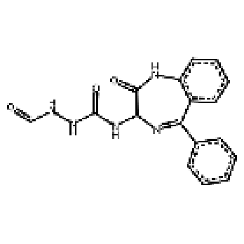 O=CNNC(=O)NC1N=C(c2ccccc2)c2ccccc2NC1=O